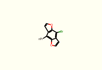 CCCc1c2ccoc2c(Br)c2ccoc12